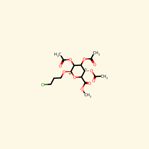 COC(=O)C1O[C@@H](OCCCCl)C(OC(C)=O)C(OC(C)=O)[C@@H]1OC(C)=O